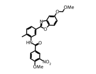 COCOc1ccc2oc(-c3ccc(C)c(NC(=O)c4ccc(OC)c([N+](=O)[O-])c4)c3)nc2c1